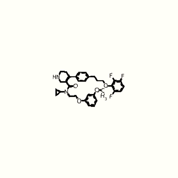 COc1cccc(OCCN(C(=O)C2=C(c3ccc(CCCOc4c(F)ccc(F)c4F)cc3)CCNC2)C2CC2)c1